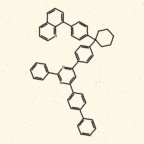 c1ccc(-c2ccc(-c3cc(-c4ccc(C5(c6ccc(-c7cccc8cccnc78)cc6)CCCCC5)cc4)nc(-c4ccccc4)n3)cc2)cc1